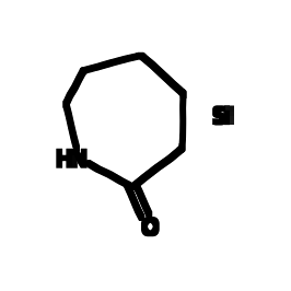 O=C1CCCCCN1.[Si]